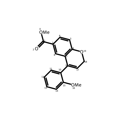 COC(=O)c1ccc2c(c1)C(c1ccccc1OC)=CCO2